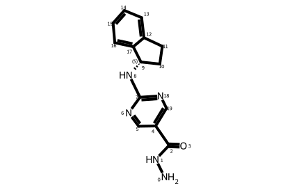 NNC(=O)c1cnc(N[C@H]2CCc3ccccc32)nc1